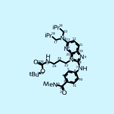 CNC(=O)c1ccc(Nc2nc3ccc(N(CC(C)C)CC(C)C)nc3n2CCCNC(=O)OC(C)(C)C)cc1